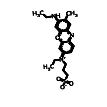 CCNc1cc2oc3c/c(=[N+](\CC)CCCS(=O)(=O)[O-])ccc-3nc2cc1C